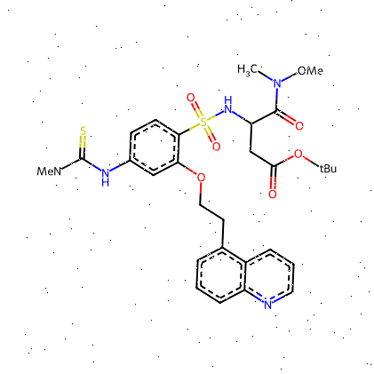 CNC(=S)Nc1ccc(S(=O)(=O)NC(CC(=O)OC(C)(C)C)C(=O)N(C)OC)c(OCCc2cccc3ncccc23)c1